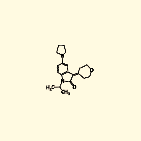 CC(C)N1C(=O)C(=C2CCOCC2)c2cc(N3CCCC3)ccc21